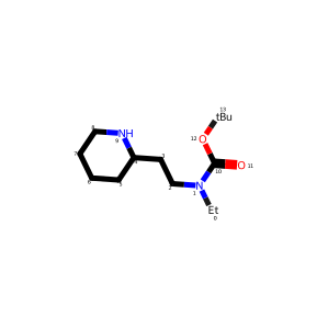 CCN(CCC1CCCCN1)C(=O)OC(C)(C)C